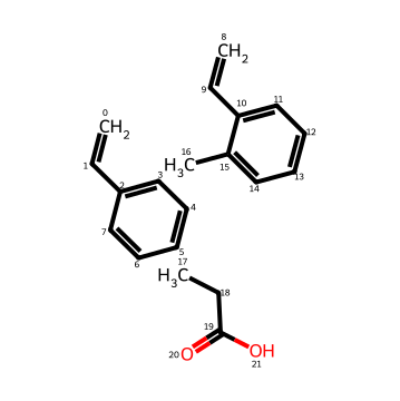 C=Cc1ccccc1.C=Cc1ccccc1C.CCC(=O)O